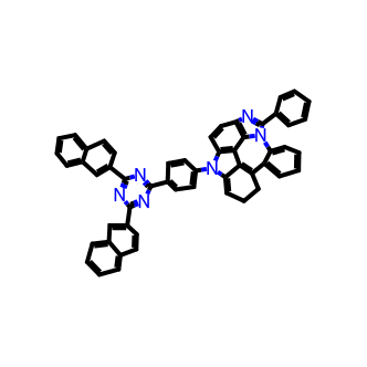 C1=c2c3c(c4ccccc4n4c(-c5ccccc5)nc5ccc(c3c54)n2-c2ccc(-c3nc(-c4ccc5ccccc5c4)nc(-c4ccc5ccccc5c4)n3)cc2)CC1